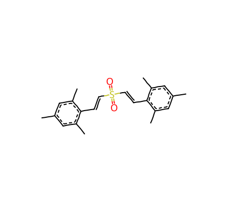 Cc1cc(C)c(C=CS(=O)(=O)C=Cc2c(C)cc(C)cc2C)c(C)c1